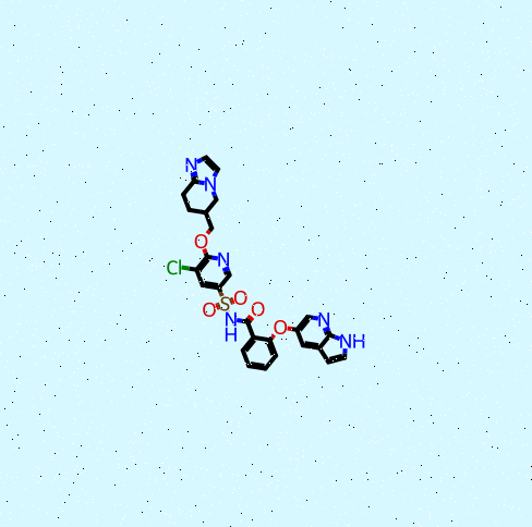 O=C(NS(=O)(=O)c1cnc(OCC2CCc3nccn3C2)c(Cl)c1)c1ccccc1Oc1cnc2[nH]ccc2c1